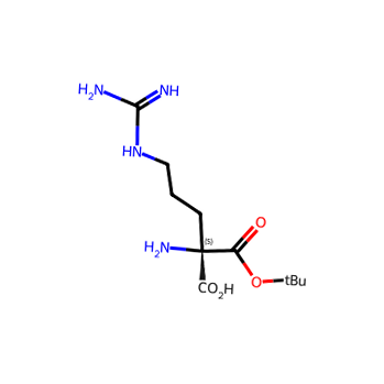 CC(C)(C)OC(=O)[C@](N)(CCCNC(=N)N)C(=O)O